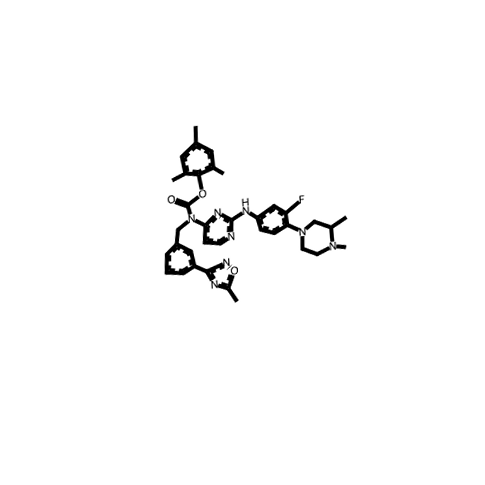 Cc1cc(C)c(OC(=O)N(Cc2cccc(-c3noc(C)n3)c2)c2ccnc(Nc3ccc(N4CCN(C)C(C)C4)c(F)c3)n2)c(C)c1